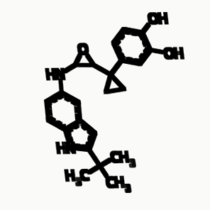 CC(C)(C)c1cc2cc(NC3OC3C3(c4ccc(O)c(O)c4)CC3)ccc2[nH]1